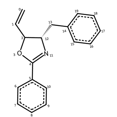 C=CC1OC(c2ccccc2)=N[C@H]1Cc1ccccc1